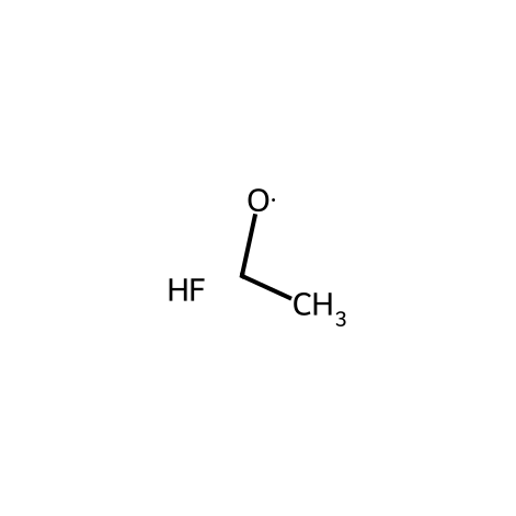 CC[O].F